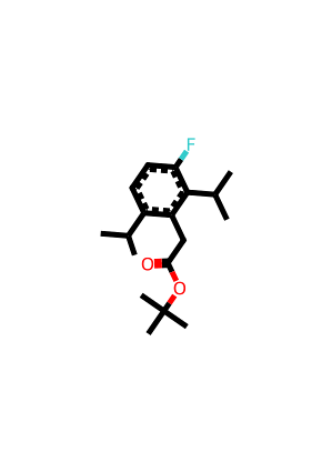 CC(C)c1ccc(F)c(C(C)C)c1CC(=O)OC(C)(C)C